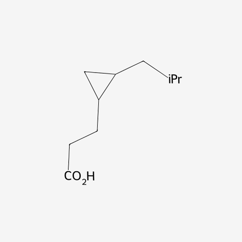 CC(C)CC1CC1CCC(=O)O